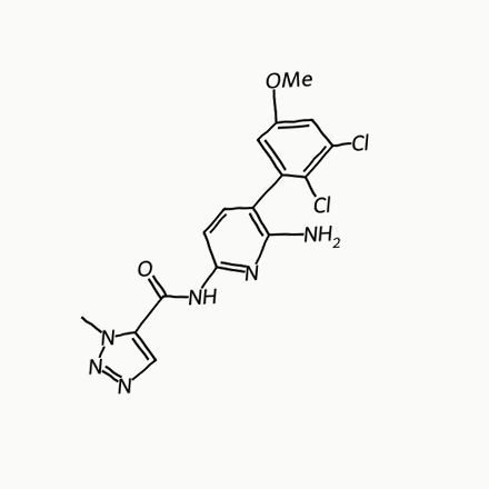 COc1cc(Cl)c(Cl)c(-c2ccc(NC(=O)c3cnnn3C)nc2N)c1